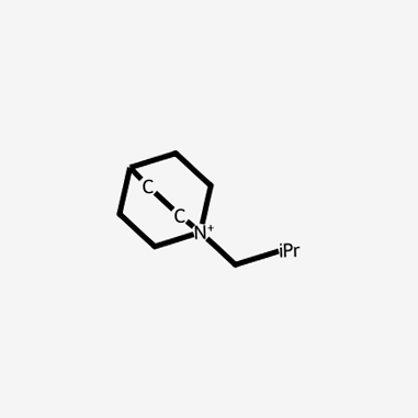 CC(C)C[N+]12CCC(CC1)CC2